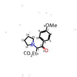 CCOC(=O)C(C(=O)c1ccc(OC)cc1)N1CCCC1